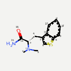 CN(C)[C@@H](Cc1csc2ccccc12)C(N)=O